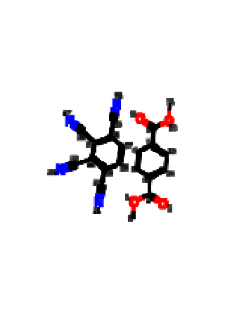 COC(=O)c1ccc(C(=O)OC)cc1.N#Cc1ccc(C#N)c(C#N)c1C#N